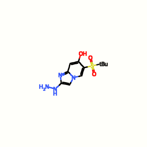 CC(C)(C)S(=O)(=O)c1cn2cc(NN)nc2cc1O